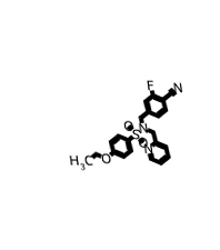 CCOc1ccc(S(=O)(=O)N(Cc2ccc(C#N)c(F)c2)Cc2ccccn2)cc1